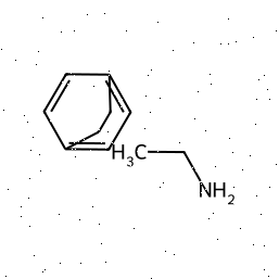 CCN.c1cc2ccc1CC2